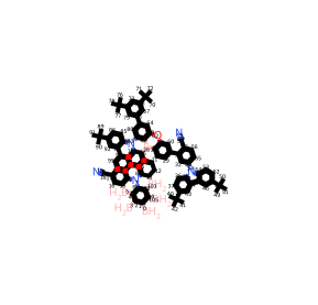 Bc1c(B)c(B)c(N(C2=CC=CCC2)c2ccc(C#N)cc2C2=C=C=C3B4c5ccc(-c6cc(-n7c8ccc(C(C)(C)C)cc8c8cc(C(C)(C)C)ccc87)ccc6C#N)cc5Oc5cc(-c6cc(C(C)(C)C)cc(C(C)(C)C)c6)cc(c54)N(c4ccc(C(C)(C)C)cc4-c4ccccc4)C3=C2)c(B)c1B